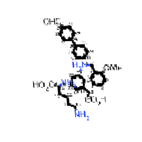 COc1ccccc1CN.NCCCC[C@H](N)C(=O)O.O=C(O)Cc1ccccc1.O=Cc1ccc(-c2ccccc2)cc1